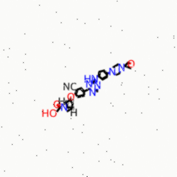 N#Cc1cc(-c2ncnc(Nc3ccc(N4CCN(C5COC5)CC4)cc3)n2)ccc1O[C@H]1C[C@H]2C[C@@H]1N(C(=O)CO)C2